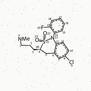 CNCCC[C@@H]1Cc2cc(Cl)ccc2N(c2ccccc2F)S1(=O)=O